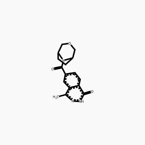 Cc1n[nH]c(=O)c2ccc(C(=O)N3C4CCC3COC4)cc12